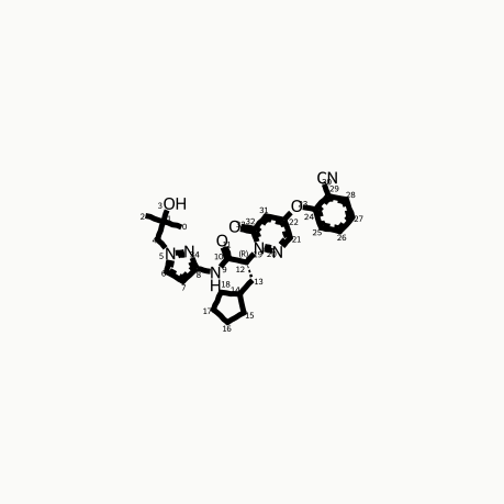 CC(C)(O)Cn1ccc(NC(=O)[C@@H](CC2CCCC2)n2ncc(Oc3ccccc3C#N)cc2=O)n1